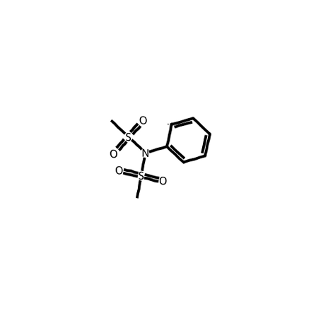 CS(=O)(=O)N(c1[c]cccc1)S(C)(=O)=O